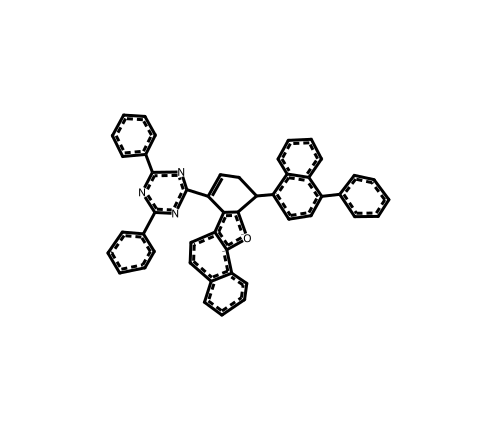 C1=C(c2nc(-c3ccccc3)nc(-c3ccccc3)n2)c2c(oc3c2ccc2ccccc23)C(c2ccc(-c3ccccc3)c3ccccc23)C1